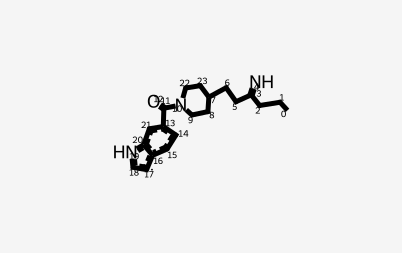 CCCC(=N)CCC1CCN(C(=O)c2ccc3[c]c[nH]c3c2)CC1